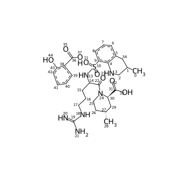 CC1CNc2c(cccc2S(=O)(=O)NC(CCCNC(=N)N)C(=O)N2CC[C@@H](C)C[C@@H]2C(=O)O)C1.O=C(O)c1ccccc1O